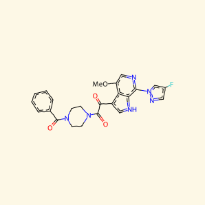 COc1cnc(-n2cc(F)cn2)c2[nH]cc(C(=O)C(=O)N3CCN(C(=O)c4ccccc4)CC3)c12